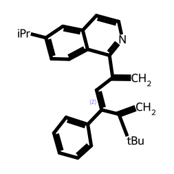 C=C(/C=C(\C(=C)C(C)(C)C)c1ccccc1)c1nccc2cc(C(C)C)ccc12